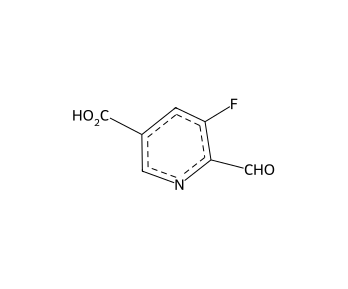 O=Cc1ncc(C(=O)O)cc1F